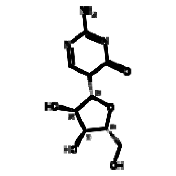 NC1=NC(=O)C([C@@H]2O[C@H](CO)[C@@H](O)[C@H]2O)C=N1